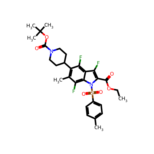 CCOC(=O)c1c(F)c2c(F)c(C3CCN(C(=O)OC(C)(C)C)CC3)c(C)c(F)c2n1S(=O)(=O)c1ccc(C)cc1